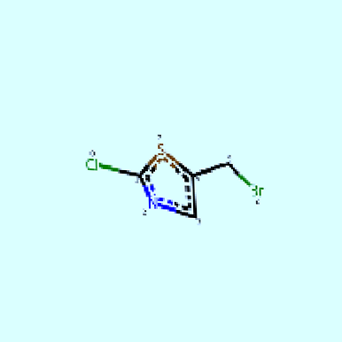 Clc1ncc(CBr)s1